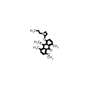 C=C=C1c2c(C)ccc(OC)c2C(=O)c2c(C)ccc(OC3CCN3CCC)c21